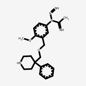 COc1ccc(N(N=N)C(C)=N)cc1COCC1(c2ccccc2)CCNCC1